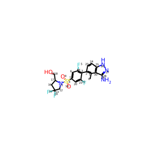 Cc1c(-c2c(F)cc(S(=O)(=O)N3CC(F)(F)CC3CO)cc2F)ccc2[nH]nc(N)c12